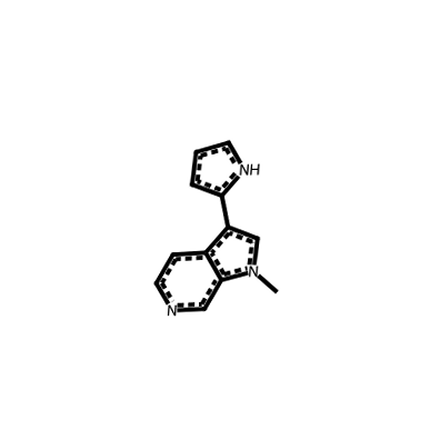 Cn1cc(-c2ccc[nH]2)c2ccncc21